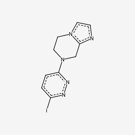 Ic1ccc(N2CCn3ccnc3C2)nn1